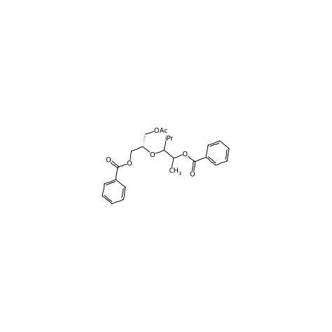 CC(=O)OC[C@@H](COC(=O)c1ccccc1)OC(C(C)C)C(C)OC(=O)c1ccccc1